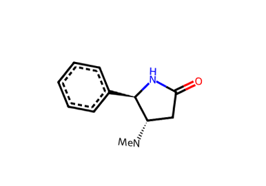 CN[C@H]1CC(=O)N[C@@H]1c1ccccc1